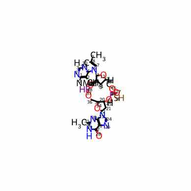 CNc1ncnc(N(C=C(C)C)[C@@H]2O[C@@H]3CO[P@@](=O)(S)O[C@H]4C[C@H](n5cnc6c(=O)[nH]c(C)nc65)OC4COPO[C@@H]2C3)c1C